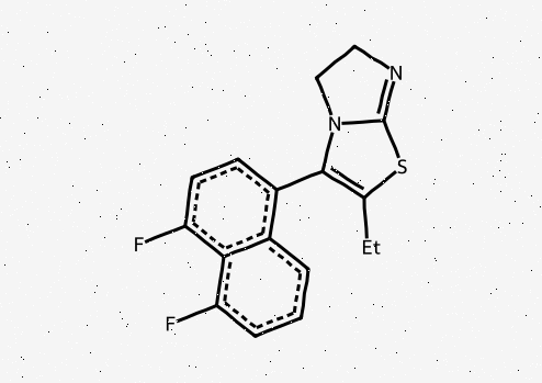 CCC1=C(c2ccc(F)c3c(F)cccc23)N2CCN=C2S1